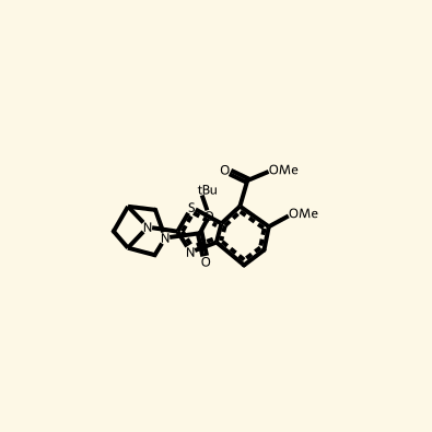 COC(=O)c1c(OC)ccc2nc(N3C4CC3CN(C(=O)OC(C)(C)C)C4)sc12